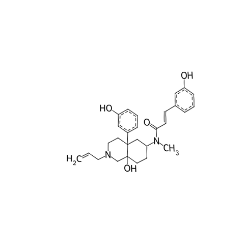 C=CCN1CCC2(c3cccc(O)c3)CC(N(C)C(=O)/C=C/c3cccc(O)c3)CCC2(O)C1